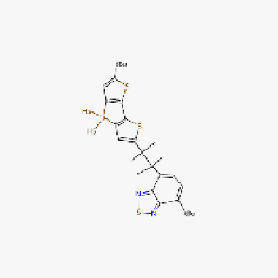 CC(C)(C)c1cc2c(s1)-c1sc(C(C)(C)C(C)(C)c3ccc(C(C)(C)C)c4nsnc34)cc1S2(S)S